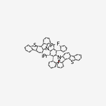 CC(C)c1c(-c2ccccc2F)c(-n2c3ccccc3c3c4sc5ccccc5c4ccc32)c(-c2ccccc2F)c(C(C)C)c1-n1c2ccccc2c2c3sc4ccccc4c3ccc21